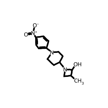 CC1CN(C2CCN(c3ccc([N+](=O)[O-])cc3)CC2)C1O